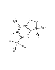 [2H]C1([2H])CCc2c1cc1c(c2N)CCC1([2H])[2H]